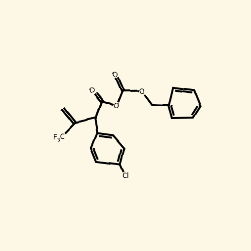 C=C(C(C(=O)OC(=O)OCc1ccccc1)c1ccc(Cl)cc1)C(F)(F)F